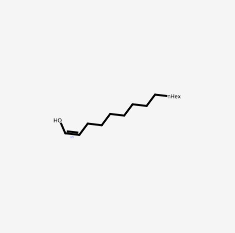 CCCCCCCCCCCCC/C=C\O